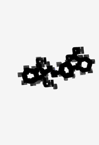 Cn1c(/N=N/c2ccc(N3CCCCC3C(=O)O)cc2)[n+](C)c2ccccc21